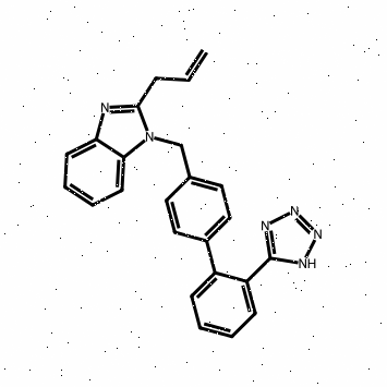 C=CCc1nc2ccccc2n1Cc1ccc(-c2ccccc2-c2nnn[nH]2)cc1